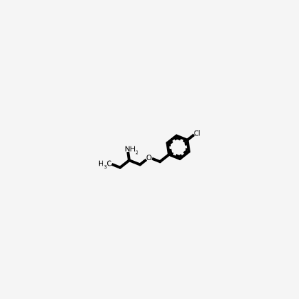 CCC(N)COCc1ccc(Cl)cc1